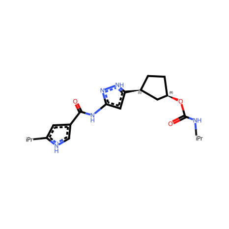 CC(C)NC(=O)O[C@@H]1CC[C@H](c2cc(NC(=O)c3c[nH]c(C(C)C)c3)n[nH]2)C1